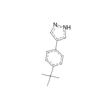 CC(C)(C)c1ccc(-c2cn[nH]c2)cc1